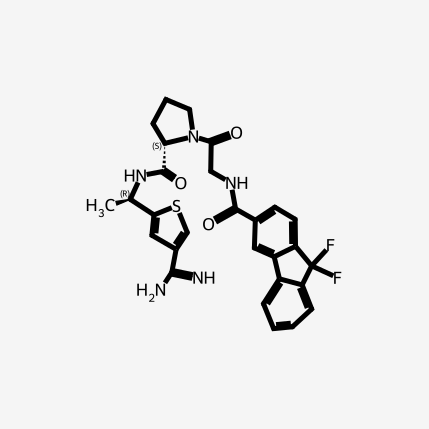 C[C@@H](NC(=O)[C@@H]1CCCN1C(=O)CNC(=O)c1ccc2c(c1)-c1ccccc1C2(F)F)c1cc(C(=N)N)cs1